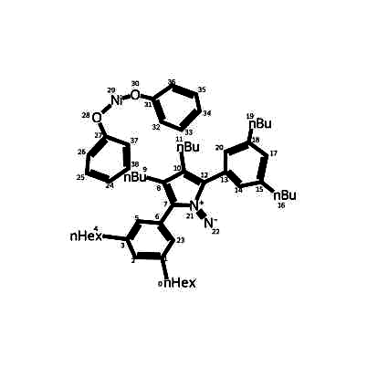 CCCCCCc1cc(CCCCCC)cc(C2=C(CCCC)C(CCCC)=C(c3cc(CCCC)cc(CCCC)c3)[N+]2=[N-])c1.c1ccc([O][Ni][O]c2ccccc2)cc1